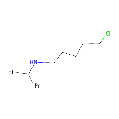 CCC(NCCCCCCl)C(C)C